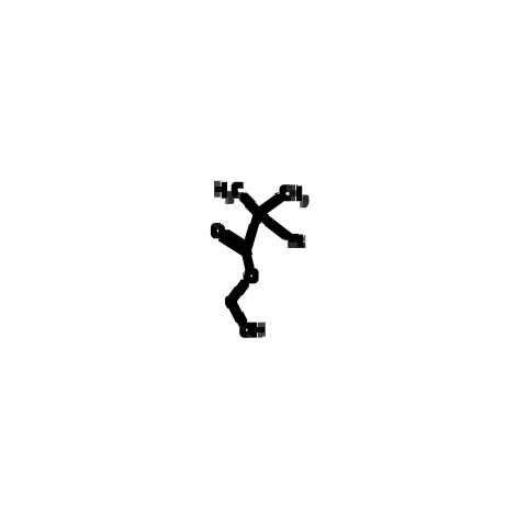 CCC(C)(C)C(=O)OCO